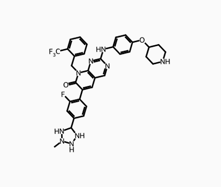 CN1NNC(c2ccc(-c3cc4cnc(Nc5ccc(OC6CCNCC6)cc5)nc4n(Cc4ccccc4C(F)(F)F)c3=O)c(F)c2)N1